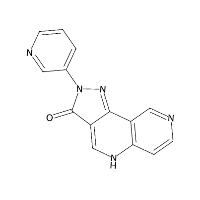 O=c1c2c[nH]c3ccncc3c-2nn1-c1cccnc1